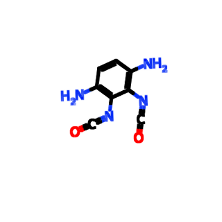 Nc1ccc(N)c(N=C=O)c1N=C=O